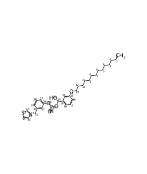 CCCCCCCCCCCCCCOc1cccc(C(O)O[PH](=O)Oc2cccc(C[n+]3ccsc3)c2)c1